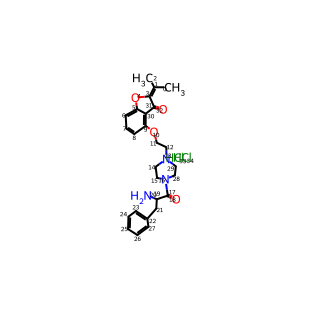 CC(C)=C1Oc2cccc(OCCN3CCN(C(=O)C(N)Cc4ccccc4)CC3)c2C1=O.Cl.Cl